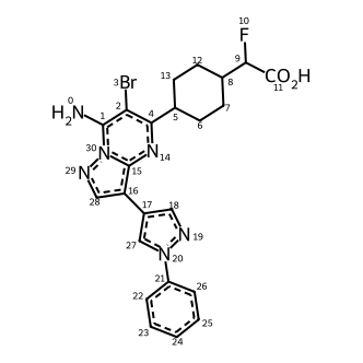 Nc1c(Br)c(C2CCC(C(F)C(=O)O)CC2)nc2c(-c3cnn(-c4ccccc4)c3)cnn12